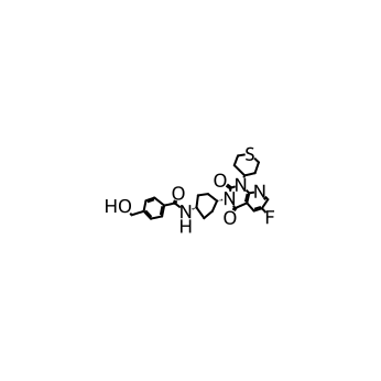 O=C(N[C@H]1CC[C@@H](n2c(=O)c3cc(F)cnc3n(C3CCSCC3)c2=O)CC1)c1ccc(CO)cc1